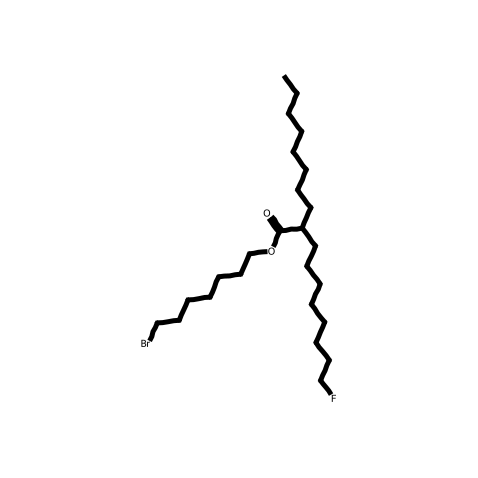 CCCCCCCCC(CCCCCCCCF)C(=O)OCCCCCCCBr